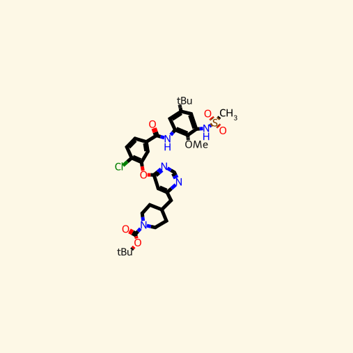 COc1c(NC(=O)c2ccc(Cl)c(Oc3cc(CC4CCN(C(=O)OC(C)(C)C)CC4)ncn3)c2)cc(C(C)(C)C)cc1NS(C)(=O)=O